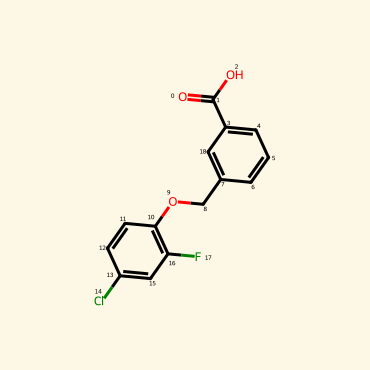 O=C(O)c1cccc(COc2ccc(Cl)cc2F)c1